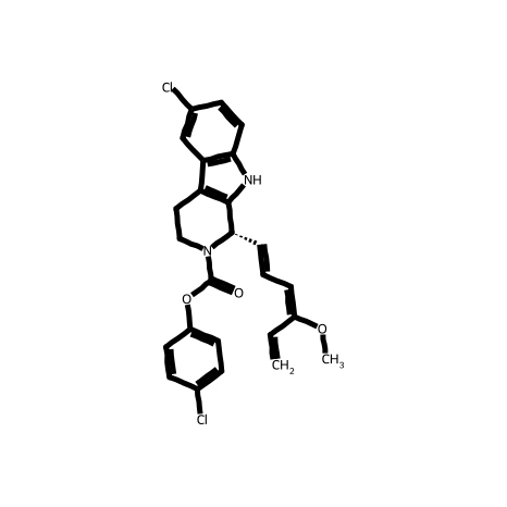 C=C/C(=C\C=C\[C@H]1c2[nH]c3ccc(Cl)cc3c2CCN1C(=O)Oc1ccc(Cl)cc1)OC